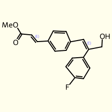 COC(=O)/C=C/c1ccc(/C=C(/CO)c2ccc(F)cc2)cc1